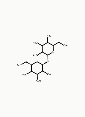 CC(=O)OCC1OC(O[C@@H]2O[C@H](COC(C)=O)C(OC(C)=O)C(OC(C)=O)C2OC(C)=O)C(OC(C)=O)C(OC(C)=O)C1OC(C)=O